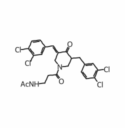 CC(=O)NCCC(=O)N1C/C(=C\c2ccc(Cl)c(Cl)c2)C(=O)C(Cc2ccc(Cl)c(Cl)c2)C1